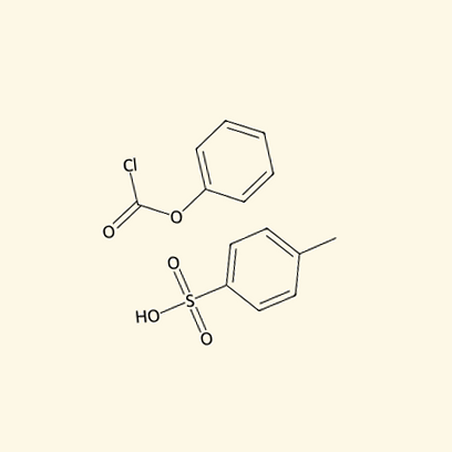 Cc1ccc(S(=O)(=O)O)cc1.O=C(Cl)Oc1ccccc1